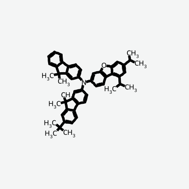 CC(C)c1cc(C(C)C)c2c(c1)oc1cc(N(c3ccc4c(c3)C(C)(C)c3ccccc3-4)c3ccc4c(c3)C(C)(C)c3cc(C(C)(C)C)ccc3-4)ccc12